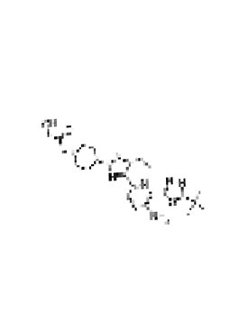 CCn1nc(C2CCN(CC(=O)CO)CC2)nc1-c1cnc(N)c(-c2nnc(C(C)(C)C)o2)n1